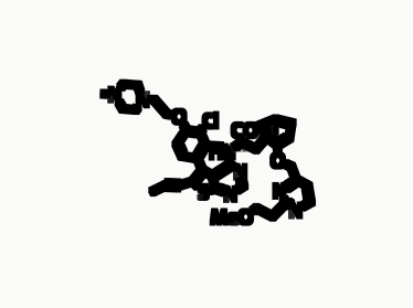 CC#Cc1sc2ncnc(N[C@H](Cc3ccccc3OCc3ccnc(CCOC)n3)C(=O)O)c2c1-c1ccc(OCCN2CCN(C)CC2)c(Cl)c1C